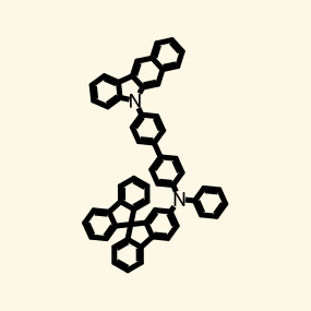 c1ccc(N(c2ccc(-c3ccc(-n4c5ccccc5c5cc6ccccc6cc54)cc3)cc2)c2ccc3c(c2)C2(c4ccccc4-c4ccccc42)c2ccccc2-3)cc1